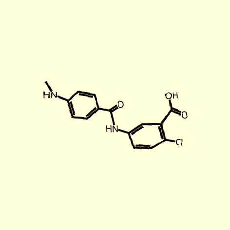 CNc1ccc(C(=O)Nc2ccc(Cl)c(C(=O)O)c2)cc1